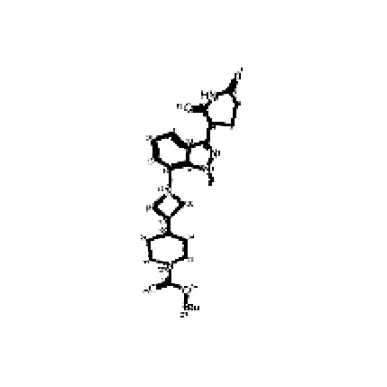 Cn1nc(C2CCC(=O)NC2=O)c2cccc(N3CC(C4CCN(C(=O)OC(C)(C)C)CC4)C3)c21